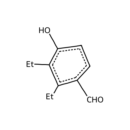 CCc1c(O)ccc(C=O)c1CC